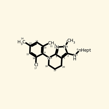 CCCCCCCNc1c2c(nn1C)N(c1c(C)cc(C)cc1Cl)CCC2